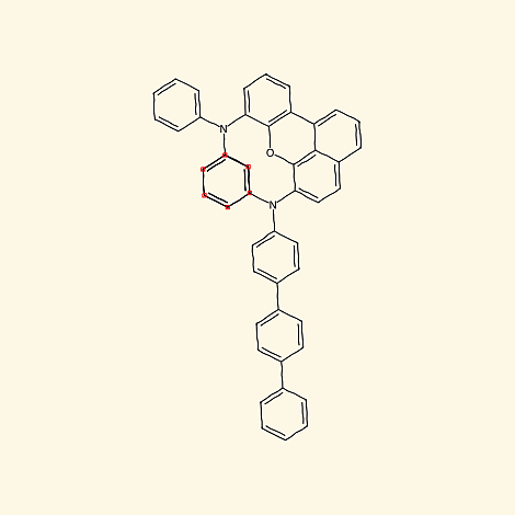 c1ccc(-c2ccc(-c3ccc(N(c4ccccc4)c4ccc5cccc6c5c4Oc4c-6cccc4N(c4ccccc4)c4ccccc4)cc3)cc2)cc1